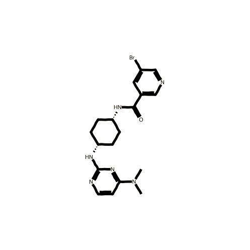 CN(C)c1ccnc(N[C@H]2CC[C@@H](NC(=O)c3cncc(Br)c3)CC2)n1